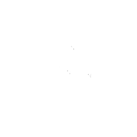 C[C@@H](N)c1ncccn1.Cl.Cl